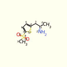 C[C@@H](N)Cc1ccc(S(C)(=O)=O)s1